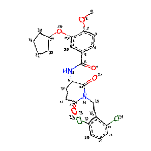 COc1ccc(C(=O)N[C@H]2CCC(=O)N(Cc3c(Cl)cccc3Cl)C2=O)cc1OC1CCCC1